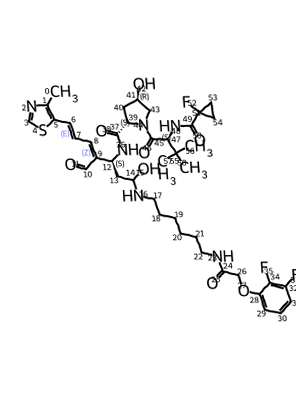 Cc1ncsc1/C=C/C=C(\C=O)[C@H](CC(O)NCCCCCCNC(=O)COc1cccc(F)c1F)NC(=O)[C@@H]1C[C@@H](O)CN1C(=O)[C@@H](NC(=O)C1(F)CC1)C(C)(C)C